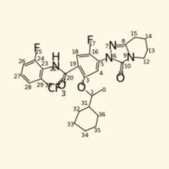 CC(Oc1cc(-n2nc3n(c2=O)CCCC3)c(F)cc1C(=O)Nc1c(F)cccc1C(F)(F)F)C1CCCCC1